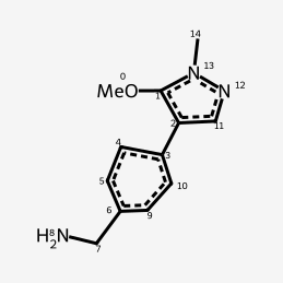 COc1c(-c2ccc(CN)cc2)cnn1C